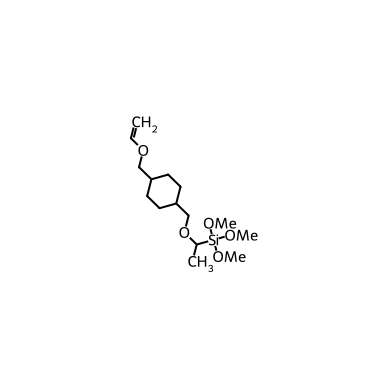 C=COCC1CCC(COC(C)[Si](OC)(OC)OC)CC1